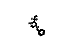 C=C[C@@H](CC(O)C(F)(F)C=C)OCc1ccccc1